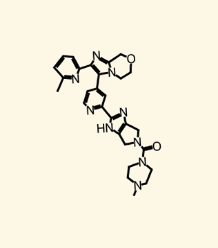 Cc1cccc(-c2nc3n(c2-c2ccnc(-c4nc5c([nH]4)CN(C(=O)N4CCN(C)CC4)C5)c2)CCOC3)n1